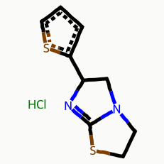 Cl.c1csc(C2CN3CCSC3=N2)c1